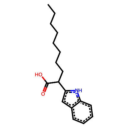 CCCCCCCCC(C(=O)O)c1cc2ccccc2[nH]1